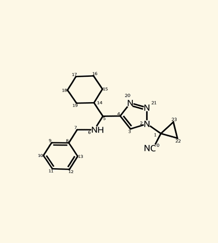 N#CC1(n2cc(C(NCc3ccccc3)C3CCCCC3)nn2)CC1